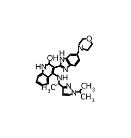 CC(C)n1ccc([C@H](C)NC2=C(c3nc4ccc(N5CCOCC5)cc4[nH]3)C(O)Nc3ccccc32)n1